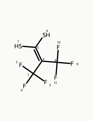 FC(F)(F)C(=C(S)S)C(F)(F)F